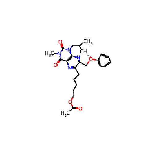 CC(=O)OCCCCCc1nc2c(=O)n(C)c(=O)n(CC(C)C)c2nc1COc1ccccc1